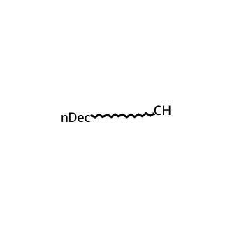 C#CCCCCCCCCCCCCCCCCCCCCCCCCCC